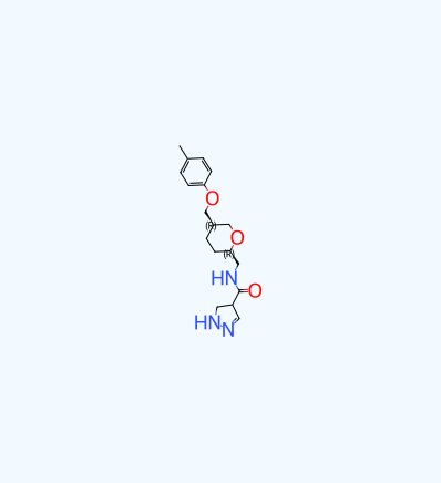 Cc1ccc(OC[C@@H]2CC[C@H](CNC(=O)C3C=NNC3)OC2)cc1